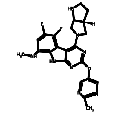 CNc1cc(F)c(F)c2c1[nH]c1nc(Oc3cnc(C)nc3)nc(N3CC4NCC[C@@H]4C3)c12